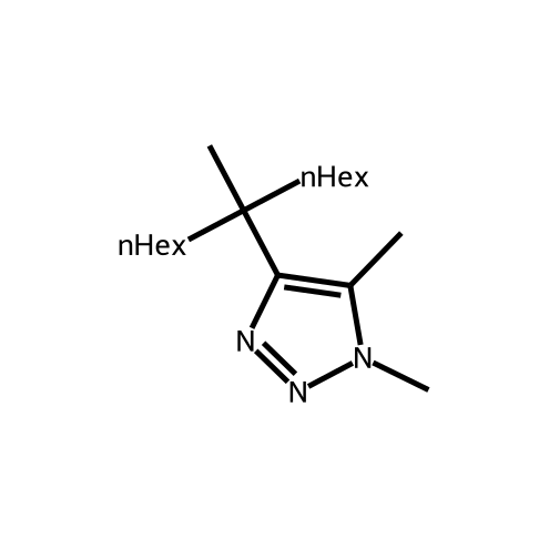 CCCCCCC(C)(CCCCCC)c1nnn(C)c1C